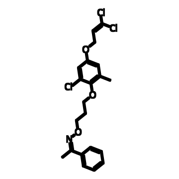 CC(=NOCCCOc1c(C)cc(OCC=C(Cl)Cl)cc1Cl)c1ccccc1